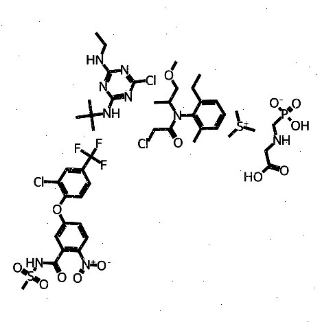 CCNc1nc(Cl)nc(NC(C)(C)C)n1.CCc1cccc(C)c1N(C(=O)CCl)C(C)COC.CS(=O)(=O)NC(=O)c1cc(Oc2ccc(C(F)(F)F)cc2Cl)ccc1[N+](=O)[O-].C[S+](C)C.O=C(O)CNCP(=O)([O-])O